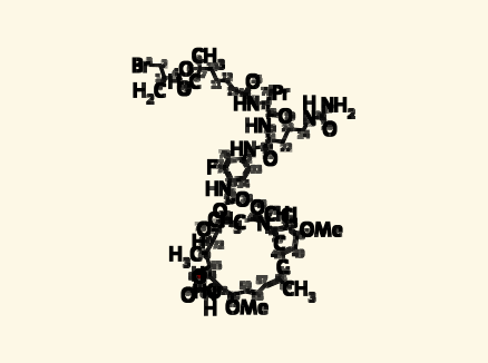 C=C(CBr)C(=O)OC(C)(C)CCCCC(=O)N[C@H](C(=O)N[C@@H](CCCNC(N)=O)C(=O)Nc1ccc(NC(=O)O[C@H]2CC(=O)N(C)c3cc(cc(OC)c3Cl)C/C(C)=C/C=C/[C@@H](OC)[C@@]3(O)C[C@H](OC(=O)N3)[C@@H](C)[C@@H]3O[C@@]23C)c(F)c1)C(C)C